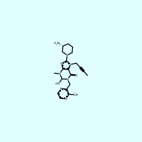 CC#CCn1c(N2CCC[C@@H](N)C2)nc2c1C(=O)N(Cc1nccnc1C#N)C(O)N2C